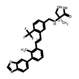 Cc1c(/C=C/c2cc(CN[C@@](C)(CO)C(=O)O)ccc2C(F)(F)F)cccc1-c1ccc2ncoc2c1